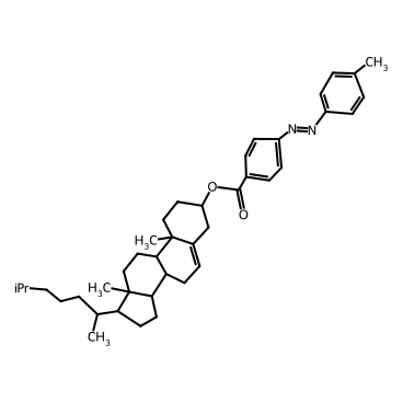 Cc1ccc(/N=N/c2ccc(C(=O)OC3CCC4(C)C(=CCC5C4CCC4(C)C(C(C)CCCC(C)C)CCC54)C3)cc2)cc1